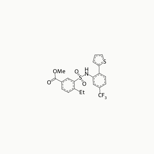 CCc1ccc(C(=O)OC)cc1S(=O)(=O)Nc1cc(C(F)(F)F)ccc1-c1cccs1